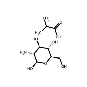 CC(C)C(=O)O.N[C@@H]1[C@@H](O)[C@H](O)[C@@H](CO)O[C@H]1O